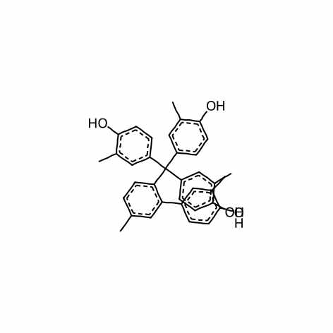 Cc1ccc(C(c2ccc(O)c(C)c2)(c2ccc(O)c(C)c2)c2ccc(O)c(C)c2)c(-c2ccc(O)c(C)c2)c1